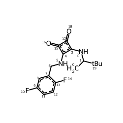 CC(Nc1c(NCc2cc(F)ccc2F)c(=O)c1=O)C(C)(C)C